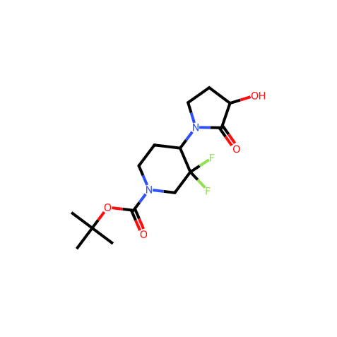 CC(C)(C)OC(=O)N1CCC(N2CCC(O)C2=O)C(F)(F)C1